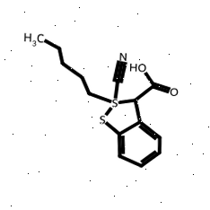 CCCCCS1(C#N)Sc2ccccc2C1C(=O)O